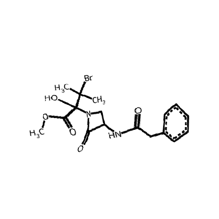 COC(=O)C(O)(N1CC(NC(=O)Cc2ccccc2)C1=O)C(C)(C)Br